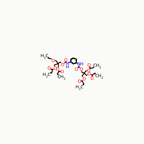 C=CCOCC(COC(=O)C=C)(COC(=O)C=C)COC(=O)Nc1cccc(NC(=O)OCC(COC(=O)C=C)(COC(=O)C=C)COC(=O)C=C)c1